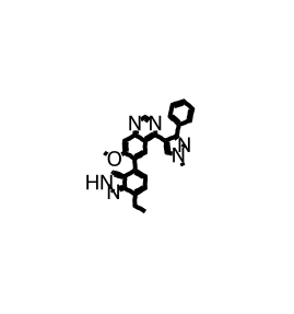 CCc1ccc(-c2cc3c(-c4cn(C)nc4-c4ccccc4)ncnc3cc2OC)c2c[nH]nc12